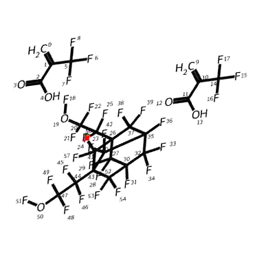 C=C(C(=O)O)C(F)(F)F.C=C(C(=O)O)C(F)(F)F.FOC(F)(F)C(F)(F)C12C(F)(F)C3(F)C(F)(F)C(F)(C1(F)F)C(F)(F)C(C(F)(F)C(F)(F)OF)(C3(F)F)C2(F)F